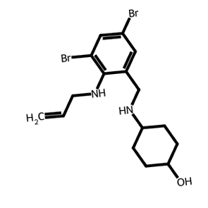 C=CCNc1c(Br)cc(Br)cc1CNC1CCC(O)CC1